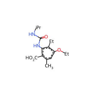 CCOc1cc(C)c(C(=O)O)c(NC(=O)NC(C)C)c1CC